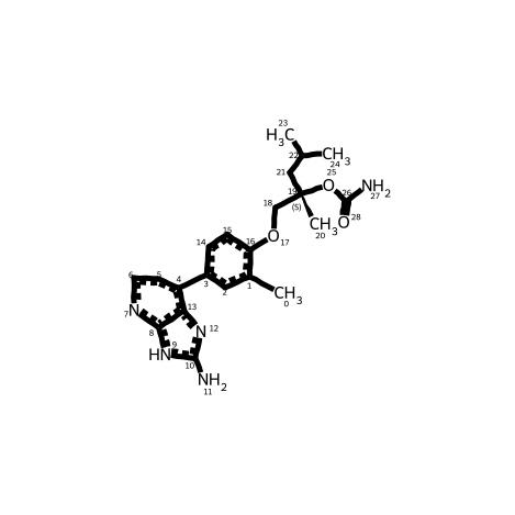 Cc1cc(-c2ccnc3[nH]c(N)nc23)ccc1OC[C@](C)(CC(C)C)OC(N)=O